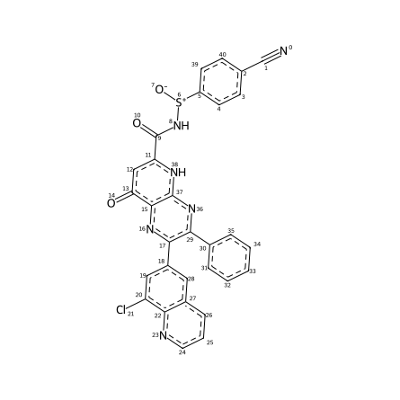 N#Cc1ccc([S+]([O-])NC(=O)c2cc(=O)c3nc(-c4cc(Cl)c5ncccc5c4)c(-c4ccccc4)nc3[nH]2)cc1